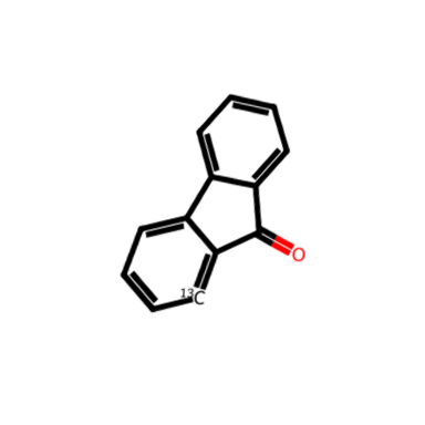 O=C1c2ccccc2-c2ccc[13cH]c21